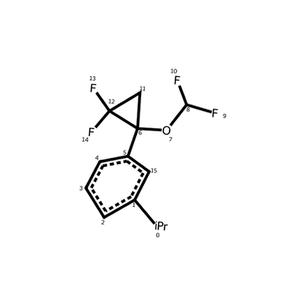 CC(C)c1cccc(C2(OC(F)F)CC2(F)F)c1